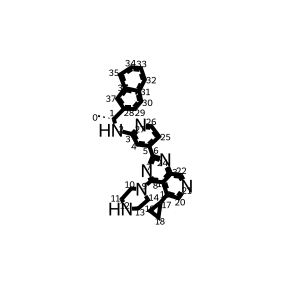 C[C@@H](Nc1cc(-c2nc(N3CCNCC3)c3c(C4CC4)cncc3n2)ccn1)c1ccc2ccccc2c1